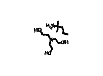 CCCC(C)(C)N.OCCN(CCO)CCO